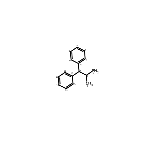 CC(P)C(c1ccccc1)c1ccccc1